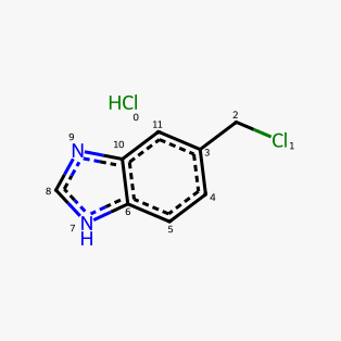 Cl.ClCc1ccc2[nH]cnc2c1